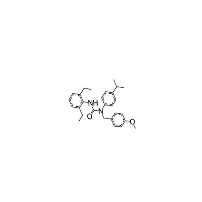 CCc1cccc(CC)c1NC(=O)N(Cc1ccc(OC)cc1)c1ccc(C(C)C)cc1